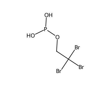 OP(O)OCC(Br)(Br)Br